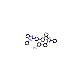 N#Cc1cccc(-c2cccc(-c3cc(-c4ccccc4)nc(-c4ccccc4-c4cccc(-c5ccc(-c6nc(-c7ccccc7)c7ccccc7n6)cc5)c4)n3)c2)c1